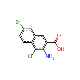 Nc1c(C(=O)O)cc2cc(Br)ccc2c1Cl